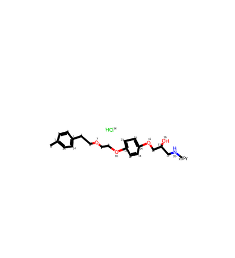 Cc1ccc(CCOCCOc2ccc(OCC(O)CNC(C)C)cc2)cc1.Cl